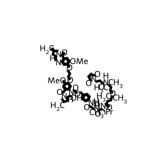 C=C1C[C@H]2C=Nc3cc(OCCCOc4cc5c(cc4OC)C(=O)N4CC(=C)C[C@H]4[C@H](O)N5C(=O)OCc4ccc(NC(=O)[C@H](C)NC(=O)[C@@H](NC(=O)CCC(C)(C)OCCC(C)(C)NC(=O)CCN5C(=O)C=CC5=O)C(C)C)cc4)c(OC)cc3C(=O)N2C1